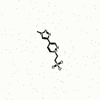 Cn1cc(-c2cc[n+](CCS(=O)(=O)[O-])nc2)nn1